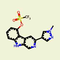 Cn1cc(-c2cc3c(cn2)[nH]c2cccc(OS(=O)(=O)C(F)(F)F)c23)cn1